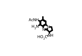 CC(=O)Nc1c(C)cc2c(nc3n2CCC3NC(=O)O)c1N